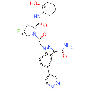 NC(=O)c1nn(CC(=O)N2C[C@H](F)C[C@H]2C(=O)NC2CCCC[C@@H]2O)c2ccc(-c3ccnnc3)cc12